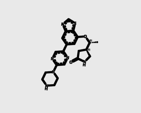 C[C@@H](Oc1cc(-c2cnc(N3CCNCC3)cn2)cc2ncsc12)[C@H]1CNC(=O)C1